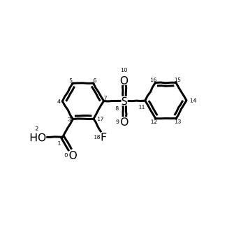 O=C(O)c1cccc(S(=O)(=O)c2ccccc2)c1F